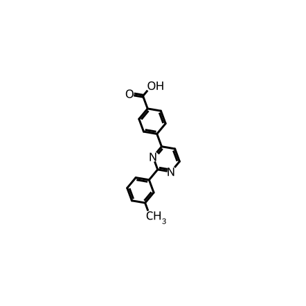 Cc1cccc(-c2nccc(-c3ccc(C(=O)O)cc3)n2)c1